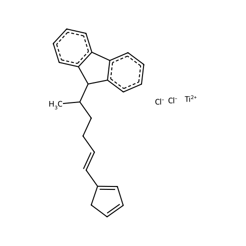 CC(CCC=CC1=CC=CC1)C1c2ccccc2-c2ccccc21.[Cl-].[Cl-].[Ti+2]